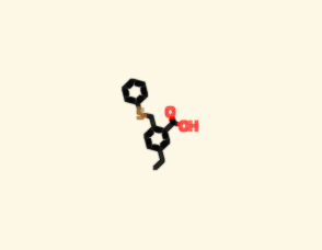 CCc1ccc(CSc2ccccc2)c(C(=O)O)c1